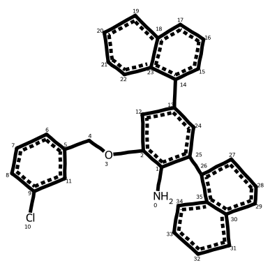 Nc1c(OCc2cccc(Cl)c2)cc(-c2cccc3ccccc23)cc1-c1cccc2ccccc12